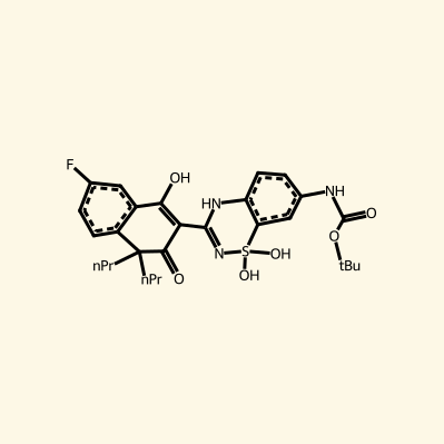 CCCC1(CCC)C(=O)C(C2=NS(O)(O)c3cc(NC(=O)OC(C)(C)C)ccc3N2)=C(O)c2cc(F)ccc21